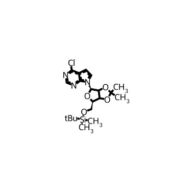 CC1(C)OC2C(O1)[C@@H](CO[Si](C)(C)C(C)(C)C)O[C@H]2n1ccc2c(Cl)ncnc21